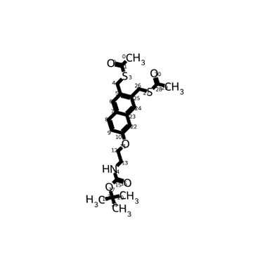 CC(=O)SCc1cc2ccc(OCCNC(=O)OC(C)(C)C)cc2cc1CSC(C)=O